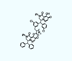 CC(Cc1cc(Cl)cc(C(c2cccc(Cl)c2)C2CN(C(C)C)C(=O)c3c(O)c(=O)cnn32)c1)C(=O)Oc1c2n(ncc1=O)C(C(c1ccccc1)c1ccccc1)CN(C(C)C)C2=O